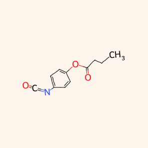 CCCC(=O)Oc1ccc(N=C=O)cc1